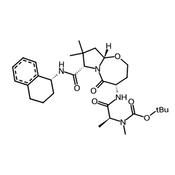 C[C@@H](C(=O)N[C@H]1CCO[C@H]2CC(C)(C)[C@@H](C(=O)N[C@@H]3CCCc4ccccc43)N2C1=O)N(C)C(=O)OC(C)(C)C